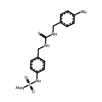 CNS(=O)(=O)Nc1ccc(CNC(=S)NCc2ccc(C(C)(C)C)cc2)cc1